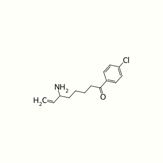 C=CC(N)CCCCC(=O)c1ccc(Cl)cc1